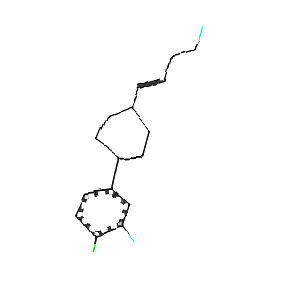 FCC/C=C/C1CCC(c2ccc(Cl)c(F)c2)CC1